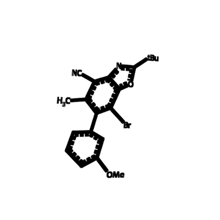 COc1cccc(-c2c(C)c(C#N)c3nc(C(C)(C)C)oc3c2Br)c1